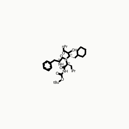 CCCC(=O)C(O)[C@H](CC1CCCCC1)N(C(=O)[C@@H](N)Cc1ccccc1)[C@@H](CC(C)C)C(=O)NC(=O)OC(C)(C)C